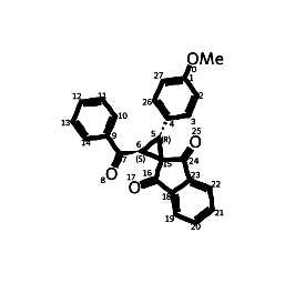 COc1ccc([C@H]2[C@H](C(=O)c3ccccc3)C23C(=O)c2ccccc2C3=O)cc1